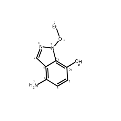 CCOn1ncc2c(N)ccc(O)c21